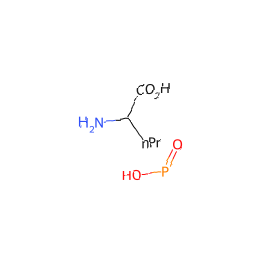 CCCC(N)C(=O)O.O=PO